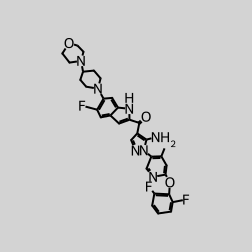 Cc1cc(Oc2c(F)cccc2F)ncc1-n1ncc(C(=O)c2cc3cc(F)c(N4CCC(N5CCOCC5)CC4)cc3[nH]2)c1N